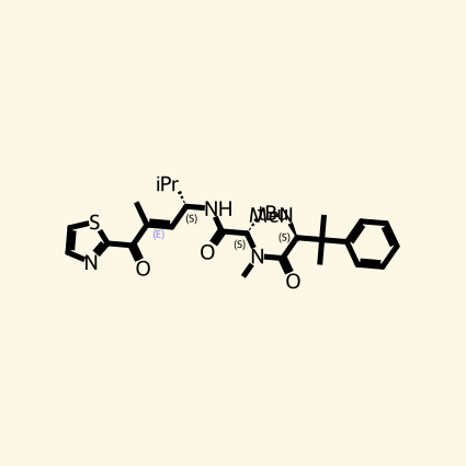 CN[C@H](C(=O)N(C)[C@H](C(=O)N[C@H](/C=C(\C)C(=O)c1nccs1)C(C)C)C(C)(C)C)C(C)(C)c1ccccc1